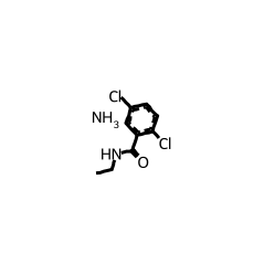 CCNC(=O)c1cc(Cl)ccc1Cl.N